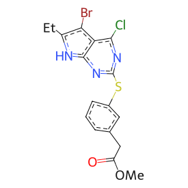 CCc1[nH]c2nc(Sc3cccc(CC(=O)OC)c3)nc(Cl)c2c1Br